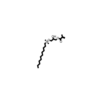 C=C(C)C(=O)OCC(O)CO[Si](C)(C)CCCCCCCCCCCC